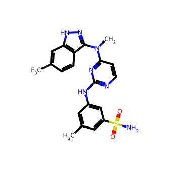 Cc1cc(Nc2nccc(N(C)c3n[nH]c4cc(C(F)(F)F)ccc34)n2)cc(S(N)(=O)=O)c1